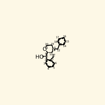 O[C@H](c1ccccc1F)[C@@H]1CN(Cc2ccccc2)CCO1